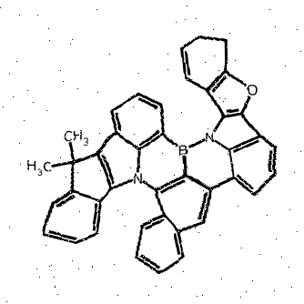 CC1(C)c2ccccc2-c2c1c1cccc3c1n2-c1c2c(cc4ccccc14)-c1cccc4c5oc6c(c5n(c14)B23)C=CCC6